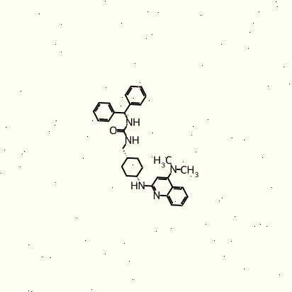 CN(C)c1cc(N[C@H]2CC[C@@H](CNC(=O)NC(c3ccccc3)c3ccccc3)CC2)nc2ccccc12